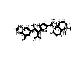 Cc1cc(-c2[nH]c3cc(C(=O)N4CCC[C@H]5NCCC[C@H]54)sc3c2C(C)C)cn2ncnc12